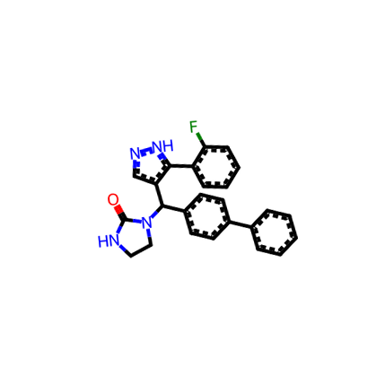 O=C1NCCN1C(c1ccc(-c2ccccc2)cc1)c1cn[nH]c1-c1ccccc1F